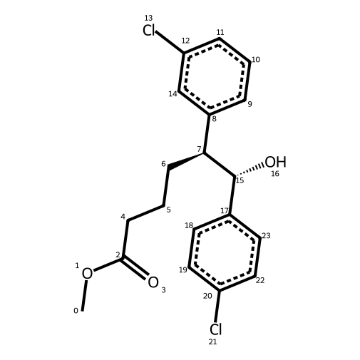 COC(=O)CCC[C@@H](c1cccc(Cl)c1)[C@H](O)c1ccc(Cl)cc1